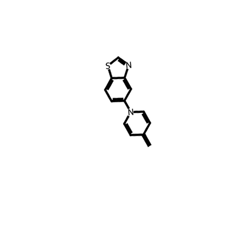 C=C1C=CN(c2ccc3scnc3c2)C=C1